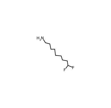 NCCCCCCCCC(F)F